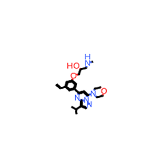 C=Cc1cc(OCC(O)CNC)cc(-c2cc(N3CCOCC3)n3ncc(C(C)C)c3n2)c1